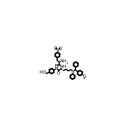 COc1ccc(C(c2ccccc2)N(CCCC[C@H](NC(=O)[C@@H](N)Cc2ccc([N+](=O)[O-])cc2)C(=O)Nc2ccc(CO)cc2)c2ccccc2)cc1